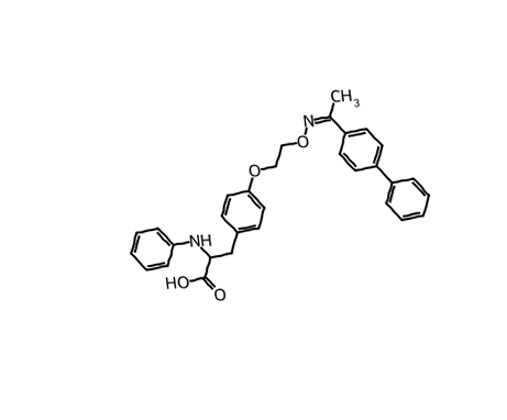 CC(=NOCCOc1ccc(CC(Nc2ccccc2)C(=O)O)cc1)c1ccc(-c2ccccc2)cc1